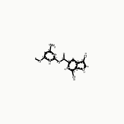 CSc1cc(N)nc(SC(C)c2cc3c(Cl)coc3c(Cl)n2)n1